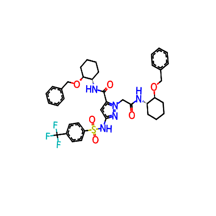 O=C(Cn1nc(NS(=O)(=O)c2ccc(C(F)(F)F)cc2)cc1C(=O)N[C@H]1CCCC[C@@H]1OCc1ccccc1)N[C@H]1CCCC[C@@H]1OCc1ccccc1